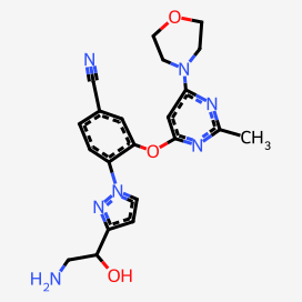 Cc1nc(Oc2cc(C#N)ccc2-n2ccc(C(O)CN)n2)cc(N2CCOCC2)n1